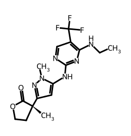 CCNc1nc(Nc2cc([C@]3(C)CCOC3=O)nn2C)ncc1C(F)(F)F